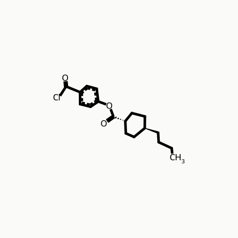 CCCC[C@H]1CC[C@H](C(=O)Oc2ccc(C(=O)Cl)cc2)CC1